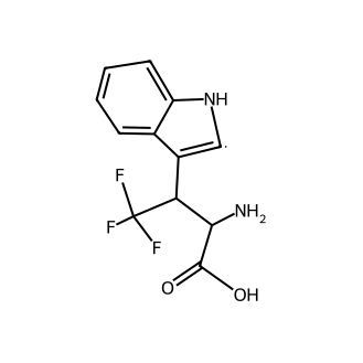 NC(C(=O)O)C(c1[c][nH]c2ccccc12)C(F)(F)F